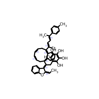 C/C=c1/oc2ccccc2/c1=C(Cc1c(O)c(O)c(O)c(O)c1O)\C1=c2/cccc/c2=C(\C(=C\C=C(/C)c2ccc(C)cc2)CC)C/C=C\C=C/C1